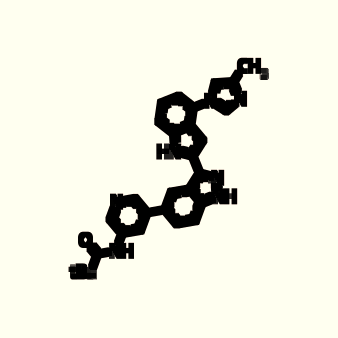 Cc1cn(-c2cccc3[nH]c(-c4n[nH]c5ccc(-c6cncc(NC(=O)C(C)(C)C)c6)cc45)cc23)cn1